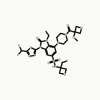 CCn1c(=O)n(-c2nnc(C(F)F)s2)c2cc(S(=O)(=O)NC3(CF)COC3)cc(N3CCN(C(=O)C4(OC)COC4)CC3)c21